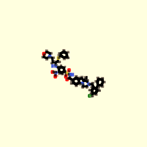 O=C(NS(=O)(=O)c1ccc(N[C@H](CCN2CCOCC2)CSc2ccccc2)c([N+](=O)[O-])c1)c1ccc2c(c1)C[C@@H]1CN(Cc3cc(Cl)ccc3-c3ccccc3)CCN21